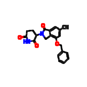 N#Cc1cc(OCc2ccccc2)c2c(c1)C(=O)N(C1CCC(=O)NC1=O)C2